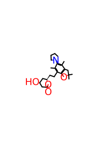 Cc1c(CC[C@@H]2C[C@@H](O)CC(=O)O2)c2c(c(C)c1N1CCCC1)CC(C)(C)O2